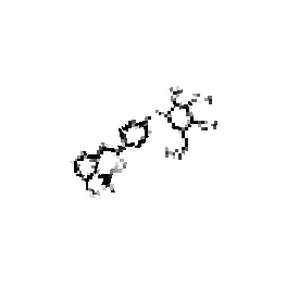 O=C1OC(c2ccc(OC3OC(CO)C(O)C(O)C3O)cc2)Cc2cccc(O)c21